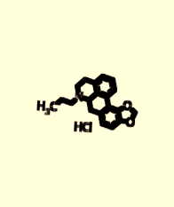 CCCN1CCc2cccc3c2C1Cc1ccc2c(c1-3)OCO2.Cl